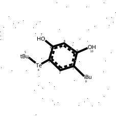 CCC(C)c1cc([Te]C(C)(C)C)c(O)cc1O